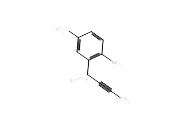 CC[C@@H](C#CC(F)(F)F)c1cc(C(=O)O)ccc1[N+](=O)[O-]